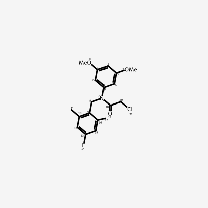 COc1cc(OC)cc(N(Cc2c(C)cc(F)cc2C)C(=O)CCl)c1